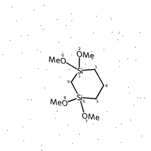 CO[Si]1(OC)CCC[Si](OC)(OC)C1